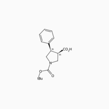 CC(C)(C)OC(=O)N1C[C@H](C(=O)O)[C@H](c2ccccc2)C1